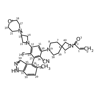 C=CC(=O)N1CC2(CCN(c3cc(N4CC(N5CCOCC5)C4)c(F)c(-c4c(C)ccc5[nH]ncc45)c3C#N)CC2)C1